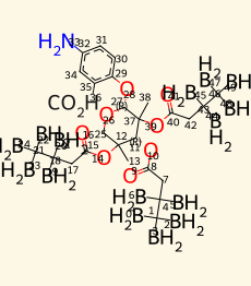 BC(B)(B)C(B)(B)CC(=O)O[C@@H]1C(C)(OC(=O)CC(B)(B)C(B)(B)B)CO[C@H](Oc2ccc(N)cc2C(=O)O)C1(C)OC(=O)CC(B)(B)C(B)(B)B